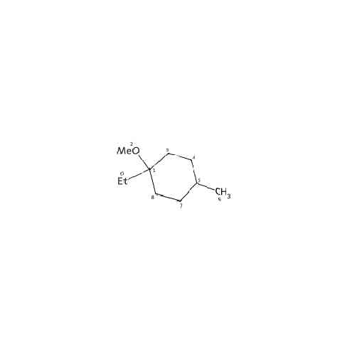 CCC1(OC)CCC(C)CC1